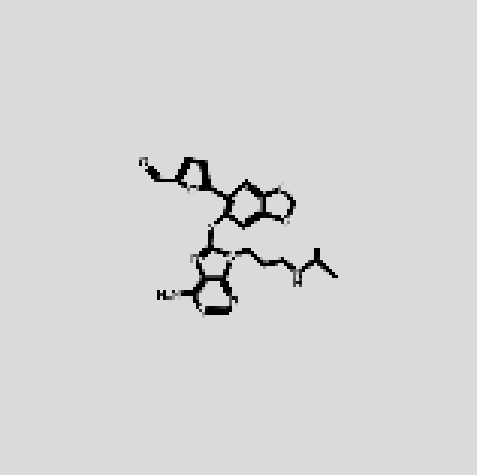 CC(C)NCCCn1c(Sc2cc3c(cc2-c2ccc(C=O)o2)OCO3)nc2c(N)ncnc21